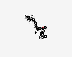 Nc1nnc(-c2ccccc2O)cc1N1CCC(C(=O)N2CCC3(CC2)CN(C(=O)CC2CCN(c4ccc5c(c4)C(=O)N(C4CCC(=O)NC4=O)C5=O)CC2)CCO3)(c2ccccc2)CC1